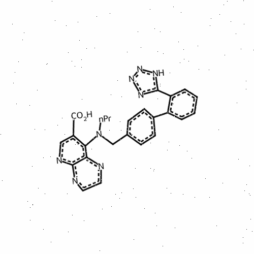 CCCN(Cc1ccc(-c2ccccc2-c2nnn[nH]2)cc1)c1c(C(=O)O)cnc2nccnc12